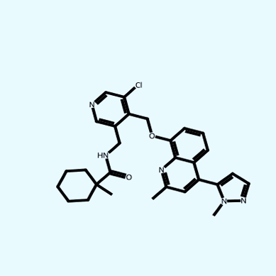 Cc1cc(-c2ccnn2C)c2cccc(OCc3c(Cl)cncc3CNC(=O)C3(C)CCCCC3)c2n1